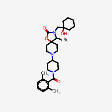 CCCCC1N(CC2(O)CCCCC2)C(=O)OC12CCN(C1CCN(C(=O)c3c(C)cccc3C)CC1)CC2